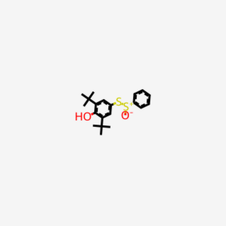 CC(C)(C)c1cc(S[S+]([O-])c2ccccc2)cc(C(C)(C)C)c1O